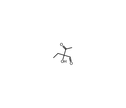 CCC(O)(C=O)C(C)=O